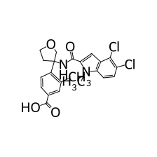 Cc1cc(C(=O)O)ccc1C1(NC(=O)c2cc3c(Cl)c(Cl)ccc3n2C)CCOC1